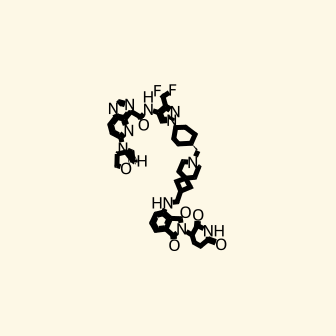 O=C1CCC(N2C(=O)c3cccc(NCC4CC5(CCN(C[C@H]6CC[C@H](n7cc(NC(=O)c8ncnc9ccc(N%10C[C@H]%11CC%10CO%11)nc89)c(C(F)F)n7)CC6)CC5)C4)c3C2=O)C(=O)N1